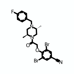 C[C@@H]1CN(C(=O)COc2c(Br)cc(C#N)cc2Br)[C@@H](C)CN1Cc1ccc(F)cc1